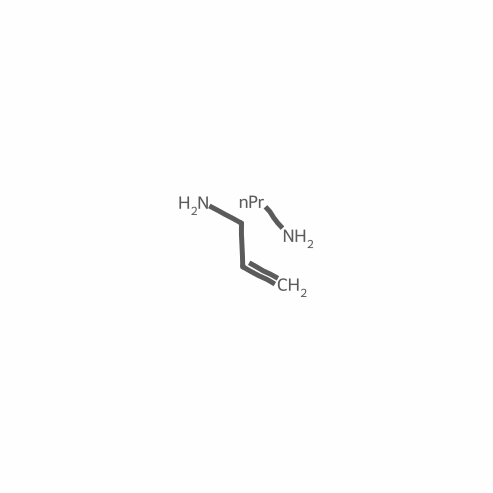 C=CCN.CCCN